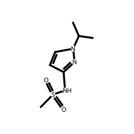 CC(C)n1ccc(NS(C)(=O)=O)n1